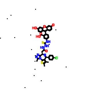 Cc1sc2c(c1C)C(c1ccc(Cl)cc1)=N[C@H](CC(=O)NNC(=S)Nc1ccc(-c3c4ccc(=O)cc-4oc4cc(O)ccc34)c(C(=O)O)c1)c1nnc(C)n1-2